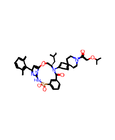 Cc1cccc(C)c1-c1cc2nc(n1)NS(=O)(=O)c1cccc(c1)C(=O)N(C1CC3(CCN(C(=O)COC(C)C)CC3)C1)[C@H](CC(C)C)CO2